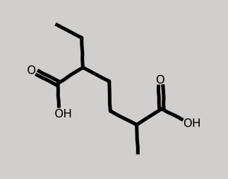 CCC(CCC(C)C(=O)O)C(=O)O